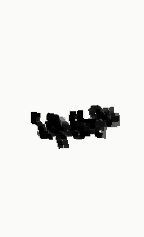 COc1cc(NCCN(C)CCF)c([N+](=O)[O-])cc1Nc1ncc(Cl)c(/C(C=N)=C2\C=CC=CN2)n1